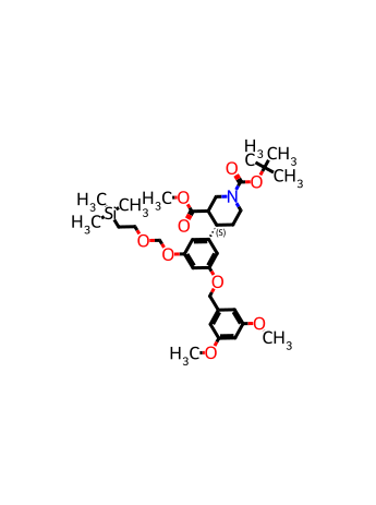 COC(=O)C1CN(C(=O)OC(C)(C)C)CC[C@@H]1c1cc(OCOCC[Si](C)(C)C)cc(OCc2cc(OC)cc(OC)c2)c1